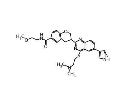 COCCNC(=O)c1ccc2c(c1)CC(c1nc(SCCN(C)C)c3cc(-c4cn[nH]c4)ccc3n1)CO2